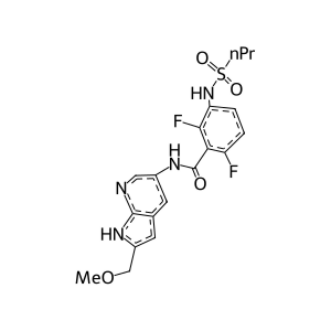 CCCS(=O)(=O)Nc1ccc(F)c(C(=O)Nc2cnc3[nH]c(COC)cc3c2)c1F